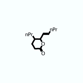 CCCC=CC1OC(=O)CCC1CCC